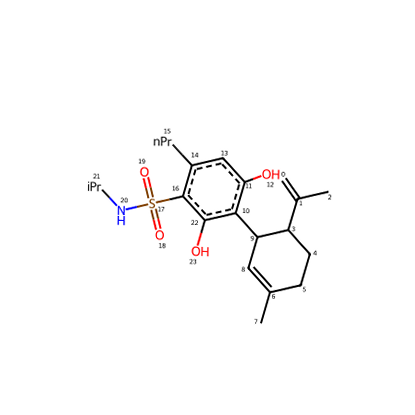 C=C(C)C1CCC(C)=CC1c1c(O)cc(CCC)c(S(=O)(=O)NC(C)C)c1O